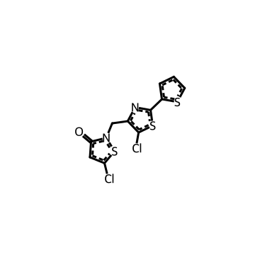 O=c1cc(Cl)sn1Cc1nc(-c2cccs2)sc1Cl